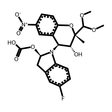 COC(OC)[C@@]1(C)Oc2ccc([N+](=O)[O-])cc2[C@H](N2c3ccc(F)cc3C[C@H]2OC(=O)O)[C@H]1O